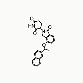 CC(Oc1cccc2c1CN(C1CCC(=O)NC1=O)C2=O)c1ccc2ccccc2c1